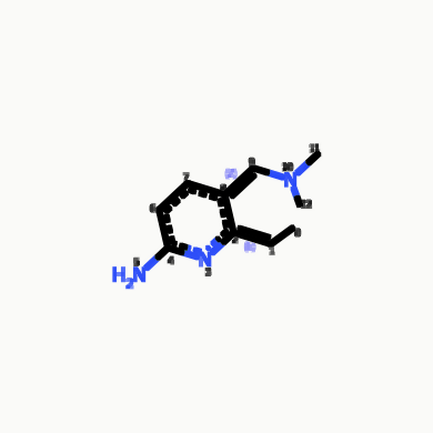 C/C=c1/nc(N)cc/c1=C/N(C)C